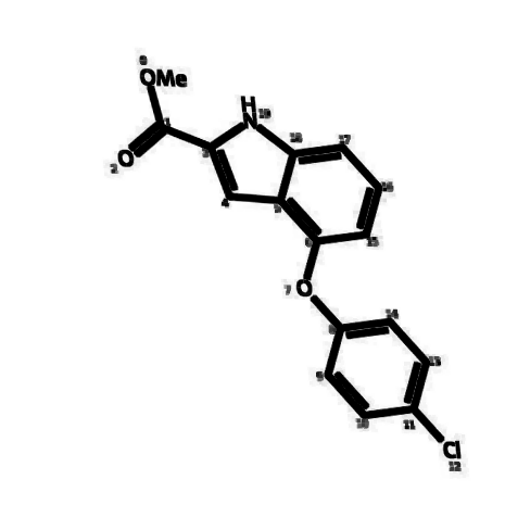 COC(=O)c1cc2c(Oc3ccc(Cl)cc3)cccc2[nH]1